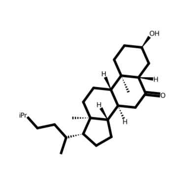 CC(C)CCC(C)[C@H]1CC[C@H]2[C@@H]3CC(=O)[C@H]4C[C@H](O)CC[C@]4(C)[C@H]3CC[C@]12C